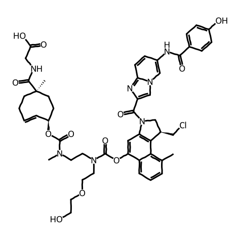 Cc1cccc2c(OC(=O)N(CCOCCO)CCN(C)C(=O)O[C@H]3/C=C/CC[C@@](C)(C(=O)NCC(=O)O)CC3)cc3c(c12)[C@H](CCl)CN3C(=O)c1cn2cc(NC(=O)c3ccc(O)cc3)ccc2n1